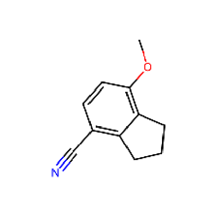 COc1ccc(C#N)c2c1CCC2